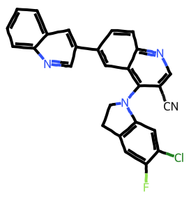 N#Cc1cnc2ccc(-c3cnc4ccccc4c3)cc2c1N1CCc2cc(F)c(Cl)cc21